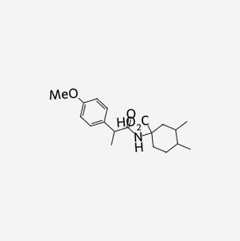 COc1ccc(C(C)C(=O)NC2(C(=O)O)CCC(C)C(C)C2)cc1